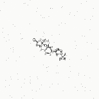 CC1(C)CC(=O)ON1Cc1ccc(-c2noc(C(F)(F)F)n2)cc1